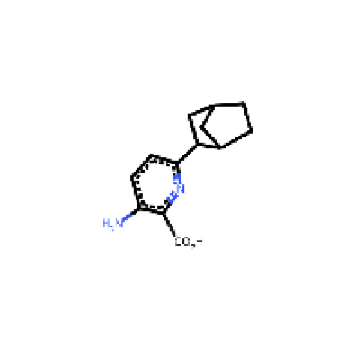 Nc1ccc(C2CC3CCC2C3)nc1C(=O)O